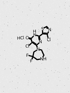 Cl.O=c1[nH]c(-c2scnc2Cl)nc(N2CCNCC(F)(F)C2)c1Cl